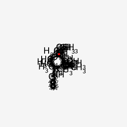 CO[C@]1(C)C[C@H](O[C@H]2[C@H](C)[C@@H](O[C@@H]3O[C@H](C)C[C@H](N(C)C)[C@H]3O)[C@](C)(O)C[C@@H](C)CN(CCCNC(=O)Cc3ccc4ccccc4c3)[C@H](C)[C@@H](O)[C@](C)(O)[C@@H](I)OC(=O)[C@@H]2C)O[C@@H](C)[C@@H]1O